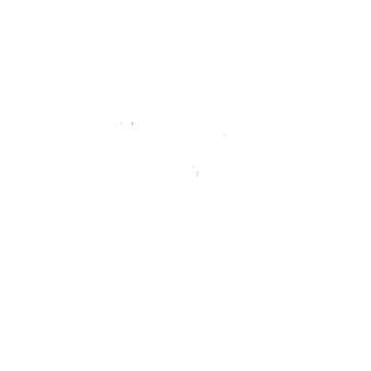 CC1(OC(=O)C2CC=CCC2)CCCC1